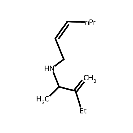 C=C(CC)C(C)NC/C=C\CCC